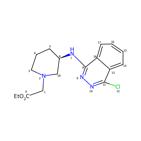 CCOC(=O)CN1CCC[C@@H](Nc2nnc(Cl)c3ccccc23)C1